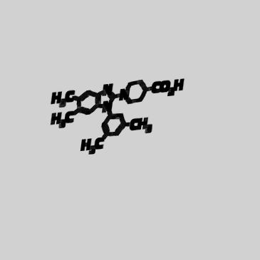 Cc1cc(C)cc(-n2c(N3CCC(C(=O)O)CC3)nc3cc(C)c(C)cc32)c1